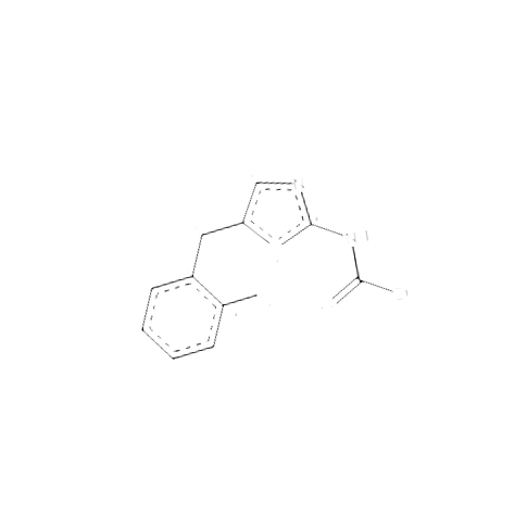 CCC(=O)Nc1ncc(Cc2ccccc2Cl)s1